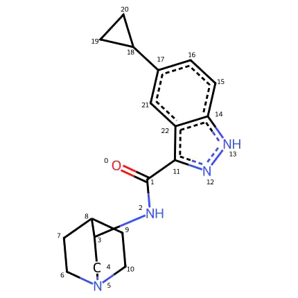 O=C(NC1CN2CCC1CC2)c1n[nH]c2ccc(C3CC3)cc12